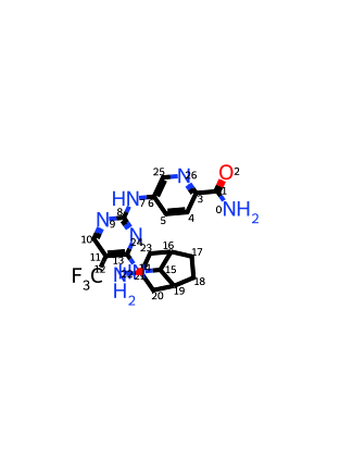 NC(=O)c1ccc(Nc2ncc(C(F)(F)F)c(NC3C4CCC3CC(N)C4)n2)cn1